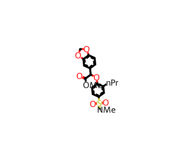 CCCc1cc(S(=O)(=O)NC)ccc1OC(C(=O)OC)c1ccc2c(c1)OCO2